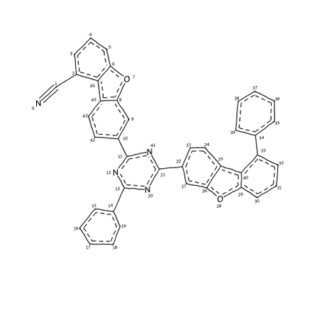 N#Cc1cccc2oc3cc(-c4nc(-c5ccccc5)nc(-c5ccc6c(c5)oc5cccc(-c7ccccc7)c56)n4)ccc3c12